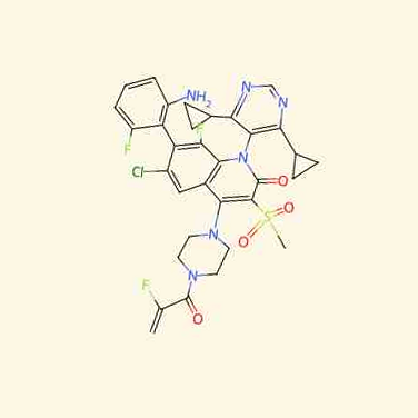 C=C(F)C(=O)N1CCN(c2c(S(C)(=O)=O)c(=O)n(-c3c(C4CC4)ncnc3C3CC3)c3c(F)c(-c4c(N)cccc4F)c(Cl)cc23)CC1